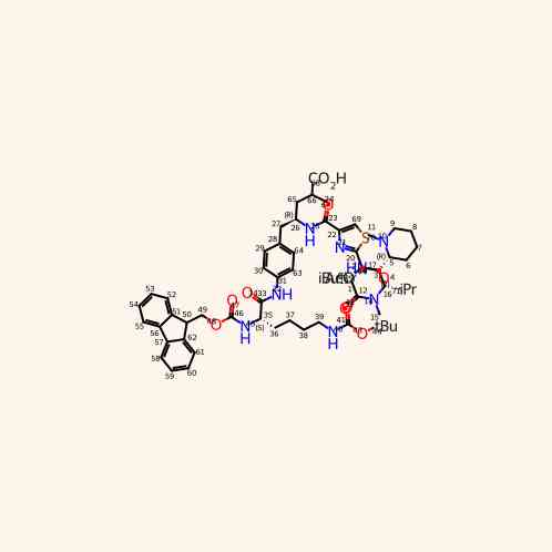 CC[C@H](C)[C@H](NC(=O)[C@H]1CCCCN1C)C(=O)N(C)[C@H](C[C@@H](OC(C)=O)c1nc(C(=O)N[C@@H](Cc2ccc(NC(=O)[C@H](CCCCNC(=O)OC(C)(C)C)NC(=O)OCC3c4ccccc4-c4ccccc43)cc2)CC(C)C(=O)O)cs1)C(C)C